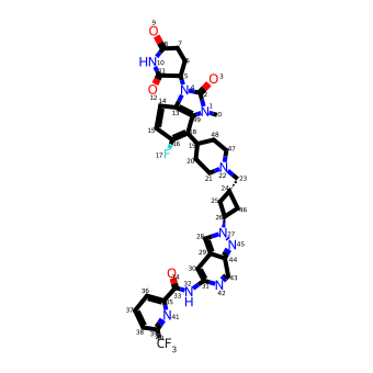 Cn1c(=O)n(C2CCC(=O)NC2=O)c2ccc(F)c(C3CCN(C[C@H]4C[C@H](n5cc6cc(NC(=O)c7cccc(C(F)(F)F)n7)ncc6n5)C4)CC3)c21